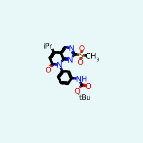 CC(C)c1cc(=O)n(-c2cccc(NC(=O)OC(C)(C)C)c2)c2nc(S(C)(=O)=O)ncc12